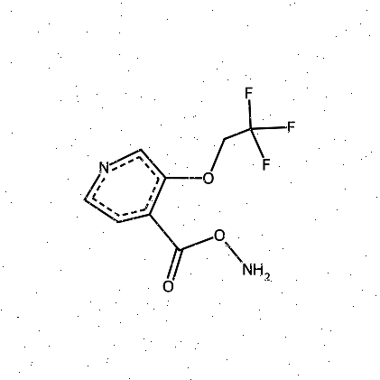 NOC(=O)c1ccncc1OCC(F)(F)F